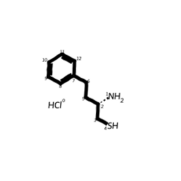 Cl.N[C@H](CS)CCc1ccccc1